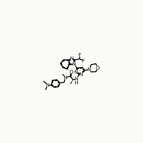 C[C@H](Nc1nc(N2CCOCC2)cc(-n2c(C(F)F)nc3ccccc32)n1)C(=O)N(C)Cc1ccc(N(C)C)cc1